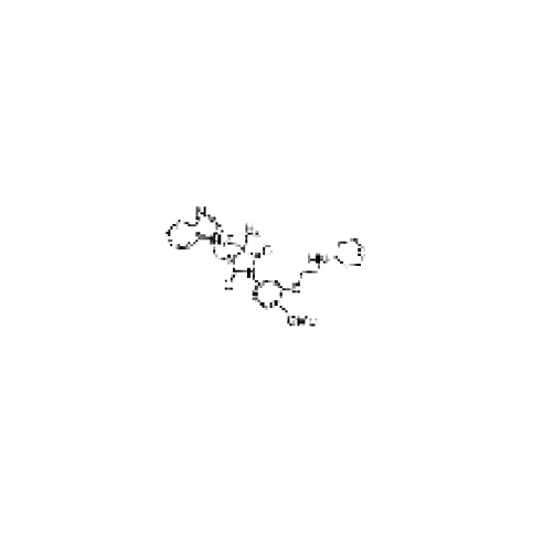 COc1ccc(N2C(=O)N(Cc3ccnc4ccccc34)C(C)(C)C2=O)cc1OCCNC1CCOCC1